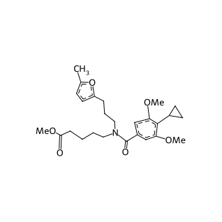 COC(=O)CCCCN(CCCc1ccc(C)o1)C(=O)c1cc(OC)c(C2CC2)c(OC)c1